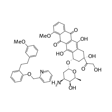 COc1cccc(CCc2ccccc2OCc2ccccn2)c1.COc1cccc2c1C(=O)c1c(O)c3c(c(O)c1C2=O)C[C@@](O)(C(=O)CO)C[C@@H]3O[C@H]1C[C@H](N)[C@H](O)[C@H](C)O1